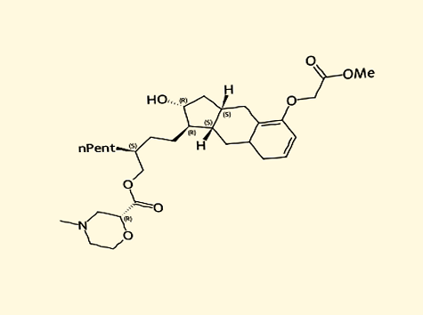 CCCCC[C@@H](CC[C@@H]1[C@H]2CC3CC=CC(OCC(=O)OC)=C3C[C@H]2C[C@H]1O)COC(=O)[C@H]1CN(C)CCO1